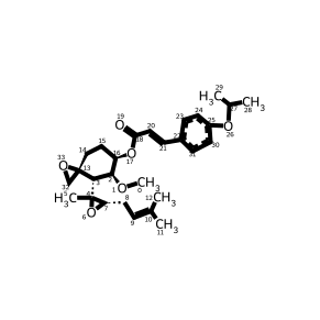 CO[C@H]1[C@H](C2(C)O[C@H]2CC=C(C)C)[C@]2(CC[C@H]1OC(=O)/C=C/c1ccc(OC(C)C)cc1)CO2